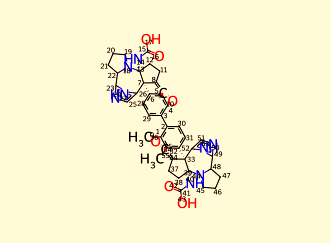 Cc1c(-c2ccc([C@@]34C(=C=O)CC[C@]3(NC(=O)O)N3CCCC3c3ncc4[nH]3)cc2)ccc([C@@]23C(=C=O)CC[C@]2(NC(=O)O)N2CCCC2c2ncc3[nH]2)c1C